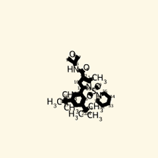 CC1=C(C(=O)NC2COC2)CC(c2cc(C(C)(C)C)cc(C(C)(C)C)c2)N1S(=O)(=O)N1CCCCC1